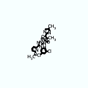 COc1cccc(-c2nnc(NS(=O)(=O)[C@@H](C)[C@H](OC)c3ncc(C)cn3)n2-c2cc(Cl)cc(Cl)c2)n1